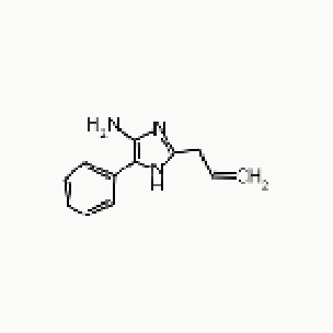 C=CCc1nc(N)c(-c2ccccc2)[nH]1